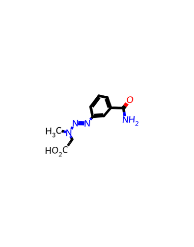 CN(CC(=O)O)/N=N/c1cccc(C(N)=O)c1